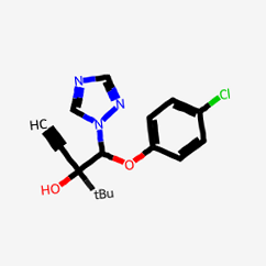 C#CC(O)(C(Oc1ccc(Cl)cc1)n1cncn1)C(C)(C)C